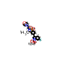 CC1c2cc(-c3cn(C(=O)OC(C)(C)C)c4cc(F)ccc34)ccc2S(=O)(=O)N1CCN1CCOCC1